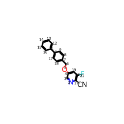 N#Cc1ncc(OCc2ccc(-c3ccccc3)cc2)cc1F